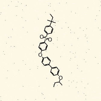 CCC(C)Oc1ccc(-c2ccc(Oc3ccc(S(=O)(=O)c4ccc(C(C)(C)CC)cc4)cc3)cc2)cc1